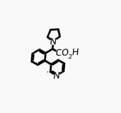 O=C(O)C(c1ccccc1-c1[c]nccc1)N1CCCC1